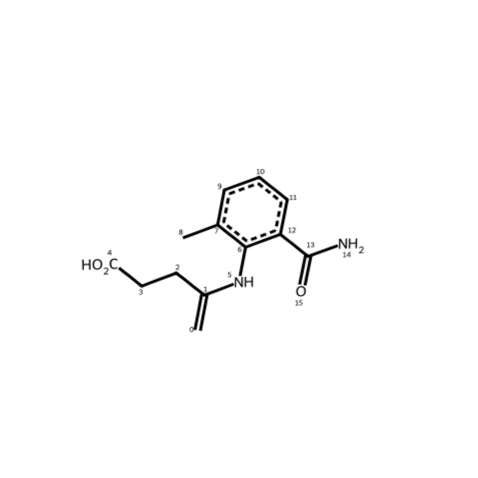 C=C(CCC(=O)O)Nc1c(C)cccc1C(N)=O